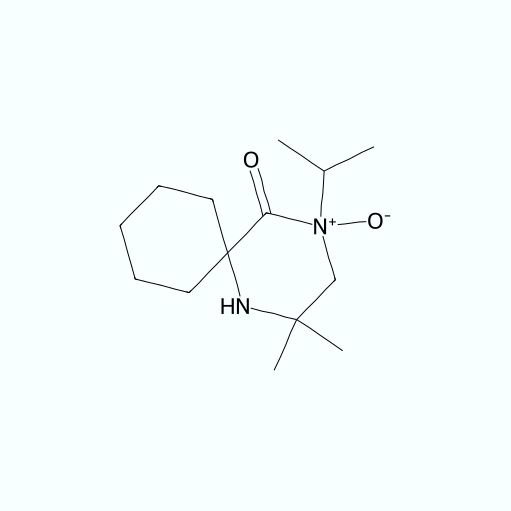 CC(C)[N+]1([O-])CC(C)(C)NC2(CCCCC2)C1=O